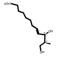 CCCCCCCCCCCCCC/C=C/[C@@H](O)[C@@H](C)CO